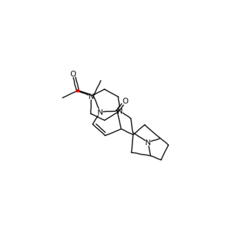 CC(=O)N1CCN(CCN2C3CCC2CC(C2C=CN(C(C)C)C2=O)C3)CC1